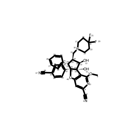 COc1nc(C#N)cc2c1[C@]1(O)[C@H](O)[C@H](CN3CCC(F)(F)CC3)[C@@H](c3ccccc3)[C@]1(c1ccc(C#N)cc1)O2